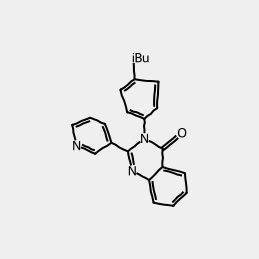 CCC(C)c1ccc(-n2c(-c3cccnc3)nc3ccccc3c2=O)cc1